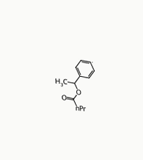 CCCC(=O)OC(C)c1cc[c]cc1